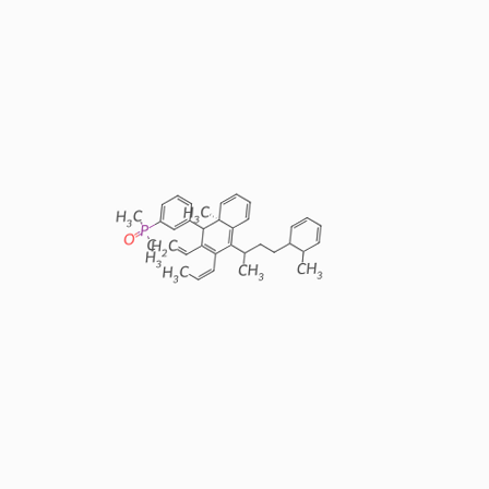 C=CC1=C(/C=C\C)C(C(C)CCC2C=CC=CC2C)=C2C=CC=C[C@]2(C)C1c1cccc(P(C)(C)=O)c1